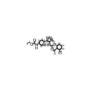 CCOC(=O)Nc1ccc(-c2nnn(C)c2NC(=O)O[C@H](C)c2ccccc2Cl)nc1